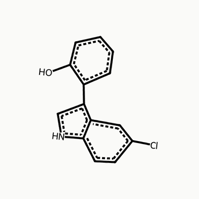 Oc1ccccc1-c1c[nH]c2ccc(Cl)cc12